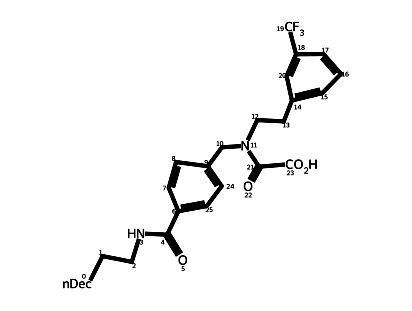 CCCCCCCCCCCCNC(=O)c1ccc(CN(CCc2cccc(C(F)(F)F)c2)C(=O)C(=O)O)cc1